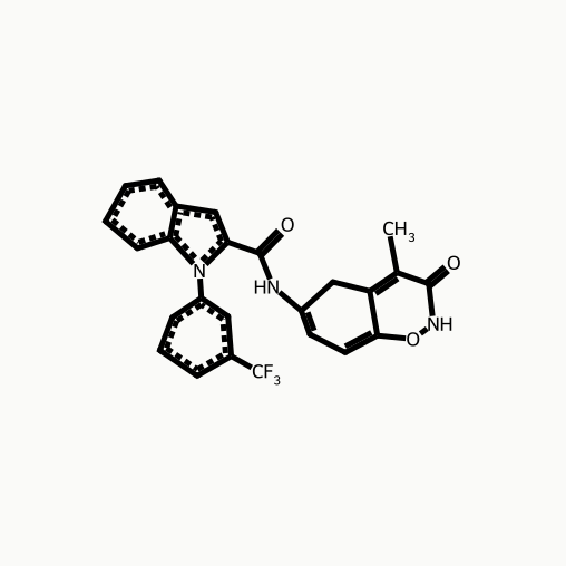 CC1=C2CC(NC(=O)c3cc4ccccc4n3-c3cccc(C(F)(F)F)c3)=CC=C2ONC1=O